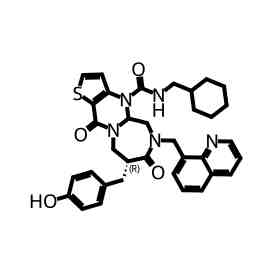 O=C1[C@H](Cc2ccc(O)cc2)CN2C(=O)c3sccc3N(C(=O)NCC3CCCCC3)C2CN1Cc1cccc2cccnc12